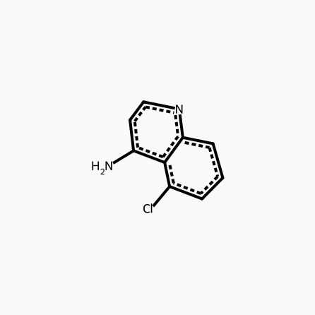 Nc1ccnc2cccc(Cl)c12